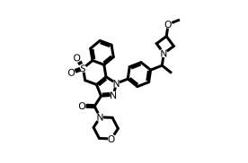 COC1CN(C(C)c2ccc(-n3nc(C(=O)N4CCOCC4)c4c3-c3ccccc3S(=O)(=O)C4)cc2)C1